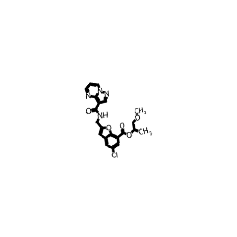 COCC(C)OC(=O)c1cc(Cl)cc2cc(CNC(=O)c3cnn4cccnc34)oc12